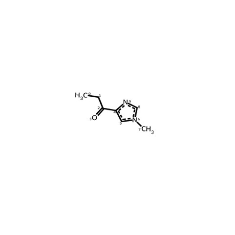 CCC(=O)c1cn(C)cn1